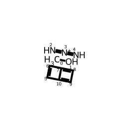 CO.N=[N+]=N.c1cc2ccc1-2